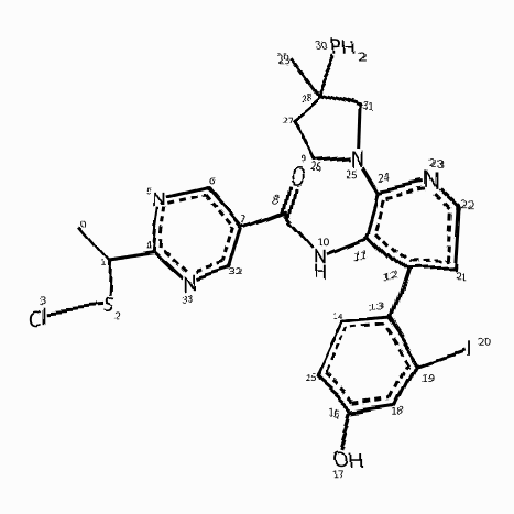 CC(SCl)c1ncc(C(=O)Nc2c(-c3ccc(O)cc3I)ccnc2N2CCC(C)(P)C2)cn1